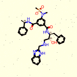 C[C@@H](NC(=O)c1cc(C(=O)N[C@@H](Cc2ccccc2)[C@H](O)CNCc2nc3ccccc3[nH]2)cc(N(C)S(C)(=O)=O)c1)c1ccccc1